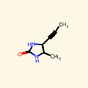 CC#CC1NC(=O)NC1C